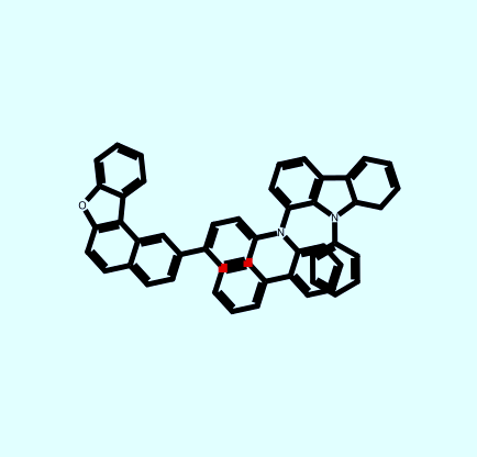 C1=CCC2C(=C1)c1cccc(N(c3ccc(-c4ccc5ccc6oc7ccccc7c6c5c4)cc3)c3ccccc3-c3ccccc3)c1N2c1ccccc1